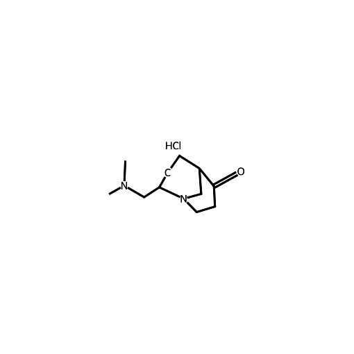 CN(C)CC1CCC2CN1CCC2=O.Cl